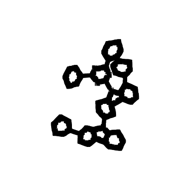 c1ccc(-c2ccc3c4ccccc4n(-c4ccc5c(c4)c4cccc(-c6ccccc6)c4n5-c4nc(-c5ccccc5)nc(-c5ccccc5)n4)c3c2)cc1